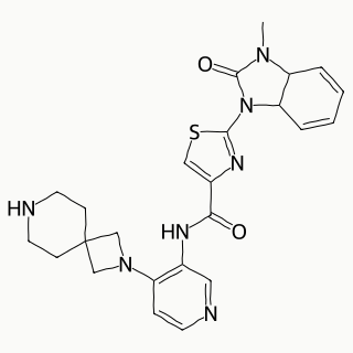 CN1C(=O)N(c2nc(C(=O)Nc3cnccc3N3CC4(CCNCC4)C3)cs2)C2C=CC=CC21